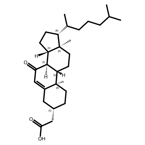 CC(C)CCCC(C)[C@H]1CC[C@H]2[C@@H]3C(=O)C=C4C[C@@H](CC(=O)O)CC[C@]4(C)[C@H]3CC[C@]12C